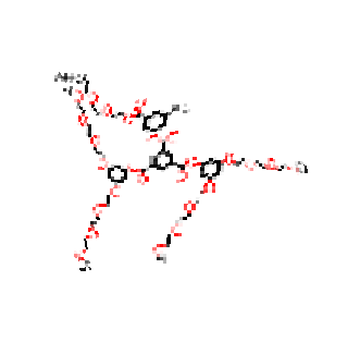 CCOCCOCCOCCOc1cc(OCCOCCOCCOCC)cc(OC(=O)c2cc(C(=O)Oc3cc(OCCOCCOCCOCC)cc(OCCOCCOCCOCC)c3)cc(C(=O)Oc3cc(C(C)=O)cc(C(=O)OCCOCCOCCOC)c3)c2)c1